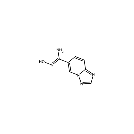 NC(=NO)c1ccc2ncnn2c1